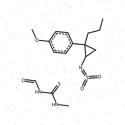 CCCC1(c2ccc(OC)cc2)CC1N=S(=O)=O.CNC(=S)NC=O